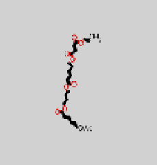 C=CCOC(=O)CCC(=O)OCCCCCC(=O)OCCCCOC(=O)CCCCCOC(C)=O